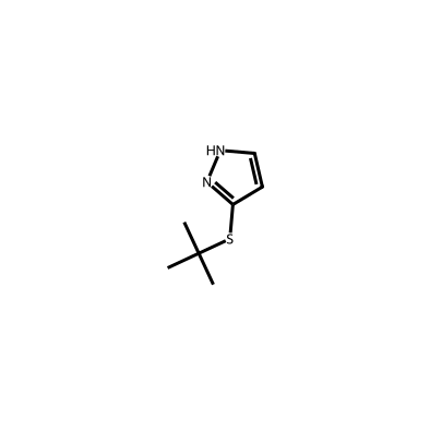 CC(C)(C)Sc1cc[nH]n1